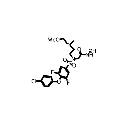 COCCN(C)CCN(CC(=O)NO)S(=O)(=O)c1cc(F)c(Oc2ccc(Cl)cc2)c(F)c1